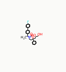 CC(c1ccc(-c2ccc(F)cc2)cc1)N1CCC(CC(O)CO)(c2ccccc2)OC1=O